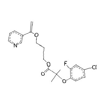 C=C(OCCCOC(=O)C(C)(C)Oc1ccc(Cl)cc1F)c1cccnc1